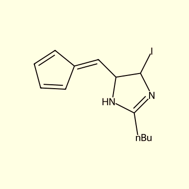 CCCCC1=NC(I)C(C=C2C=CC=C2)N1